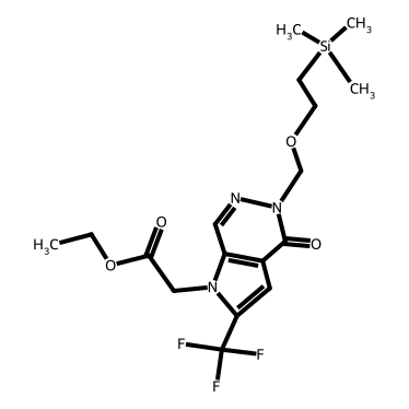 CCOC(=O)Cn1c(C(F)(F)F)cc2c(=O)n(COCC[Si](C)(C)C)ncc21